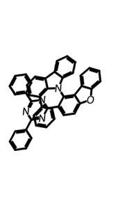 c1ccc(-c2nc(-c3ccccc3)nc(-c3ccc4oc5ccccc5c4c3-n3c4ccccc4c4cccc(-c5ccccc5)c43)n2)cc1